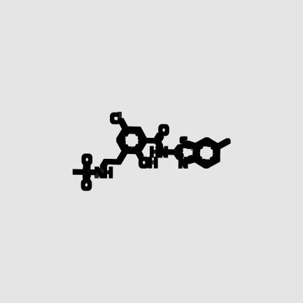 Cc1ccc2nc(NC(=O)c3cc(Cl)cc(CCNS(C)(=O)=O)c3O)sc2c1